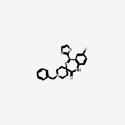 O=C1Nc2ccc(Cl)cc2C(c2nccs2)=NC12CCN(Cc1ccccc1)CC2